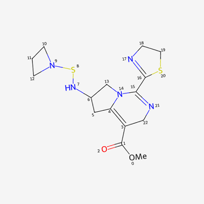 COC(=O)C1=C2CC(NSN3CCC3)CN2C(C2=NCCS2)=NC1